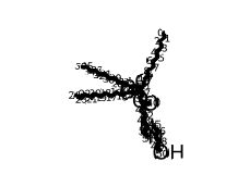 CCCCCCCCCCOCC(COCCCCCCCCCC)(COCCCCCCCCCC)COC(=O)CCCN1CCN(CCO)CC1